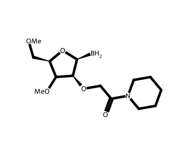 B[C@@H]1O[C@H](COC)C(OC)[C@@H]1OCC(=O)N1CCCCC1